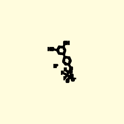 O=S(=O)([O-])C(F)(F)C(F)(F)Oc1ccc(-c2cc(O)cc(O)c2)cc1.[K+]